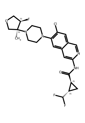 C[C@]1(N2CCN(c3cc4cc(NC(=O)[C@H]5C[C@@H]5C(F)F)ncc4cc3Cl)CC2)COC[C@H]1F